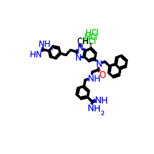 Cl.Cl.Cl.Cn1c(CCc2ccc(C(=N)N)cc2)nc2cc(N(Cc3cccc4ccccc34)C(=O)CNCc3cccc(C(=N)N)c3)ccc21